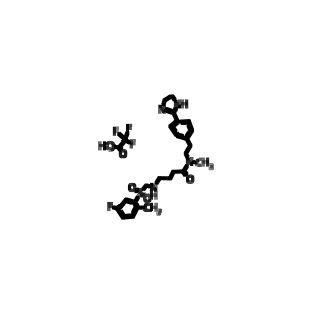 Cc1ccc(F)cc1S(=O)(=O)CNCCCC(=O)N(C)CCc1ccc(C2=NCCN2)cc1.O=C(O)C(F)(F)F